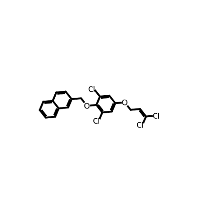 ClC(Cl)=CCOc1cc(Cl)c(OCc2ccc3ccccc3c2)c(Cl)c1